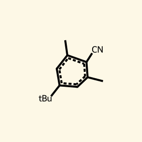 Cc1cc(C(C)(C)C)cc(C)c1C#N